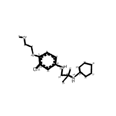 COCCOc1ccc(NCC(C)(C)NC2CCCCC2)cc1Cl